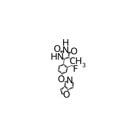 Cc1c(-c2ccc(Oc3nccc4occc34)cc2CF)[nH]c(=O)[nH]c1=O